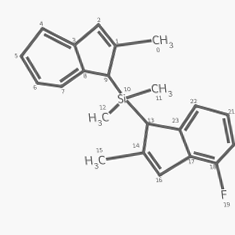 CC1=Cc2ccccc2C1[Si](C)(C)C1C(C)=Cc2c(F)cccc21